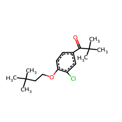 CC(C)(C)CCOc1ccc(C(=O)C(C)(C)C)cc1Cl